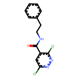 O=C(NCCc1ccccc1)c1cc(Cl)nnc1Cl